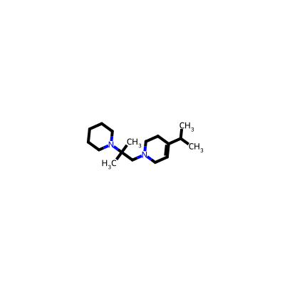 CC(C)C1=CCN(CC(C)(C)N2CCCCC2)CC1